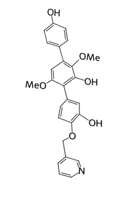 COc1cc(-c2ccc(O)cc2)c(OC)c(O)c1-c1ccc(OCc2cccnc2)c(O)c1